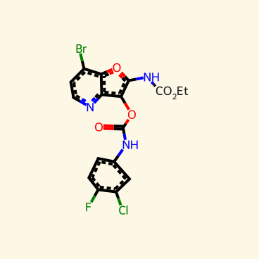 CCOC(=O)Nc1oc2c(Br)ccnc2c1OC(=O)Nc1ccc(F)c(Cl)c1